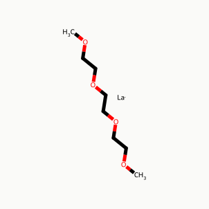 COCCOCCOCCOC.[La]